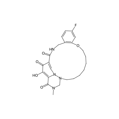 CN1CN2CCCCCCCOc3cc(F)ccc3CNC(=O)c3cn2c(c(O)c3=O)C1=O